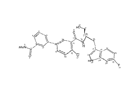 CNC(=O)c1cccc(-c2ccc(Cl)c(C(=O)N[C@@H](CO)Cc3c[nH]c4cc(F)ccc34)c2)c1